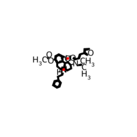 CC(=O)Oc1ccc2c3c1C[C@@H]1[C@@H]4CC[C@H](N(CC(C)C)C(=O)C=Cc5ccoc5)[C@@H](O2)[C@]34CCN1CCc1ccccc1